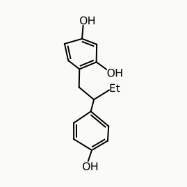 CCC(Cc1ccc(O)cc1O)c1ccc(O)cc1